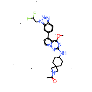 COc1nc(NC2CCC3(CC2)CN(C(C)=O)C3)nn2ccc(-c3ccc4nnn(CC(F)F)c4c3)c12